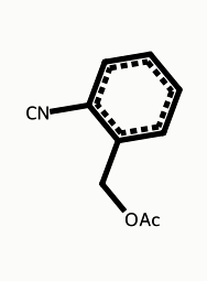 [C-]#[N+]c1ccccc1COC(C)=O